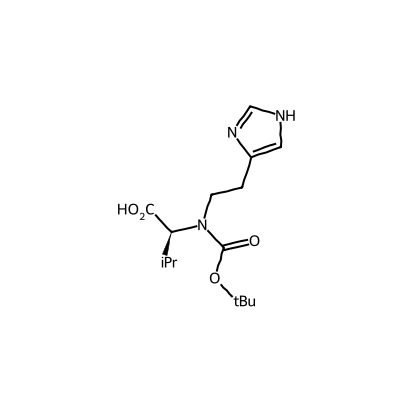 CC(C)[C@@H](C(=O)O)N(CCc1c[nH]cn1)C(=O)OC(C)(C)C